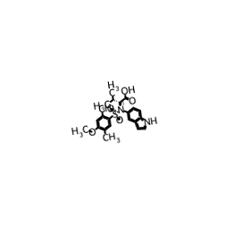 COc1cc(C)c(S(=O)(=O)N(c2ccc3[nH]ccc3c2)[C@@H](C(=O)O)C(C)C)cc1C